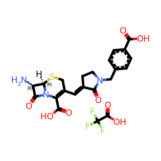 N[C@@H]1C(=O)N2C(C(=O)O)=C(C=C3CCN(Cc4ccc(C(=O)O)cc4)C3=O)CS[C@H]12.O=C(O)C(F)(F)F